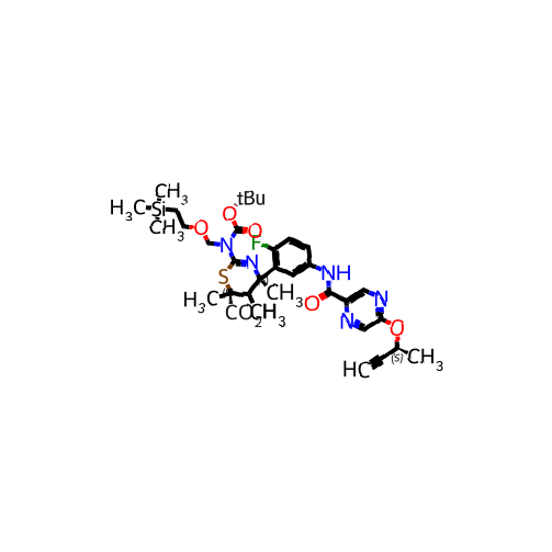 C#C[C@H](C)Oc1cnc(C(=O)Nc2ccc(F)c([C@@]3(C)N=C(N(COCC[Si](C)(C)C)C(=O)OC(C)(C)C)S[C@](C)(C(=O)O)C3C)c2)cn1